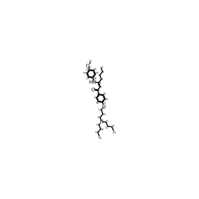 CCCC/C(=C/C(=O)c1ccc(OCCCN(CCCC)CCCC)cc1)Nc1ccc(OC)cc1